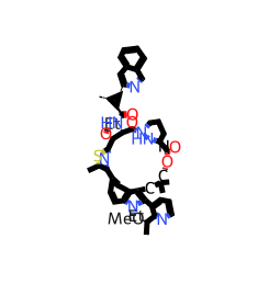 CCO[C@@H]1C2=NC(c3ccc4c(c3)c(c(-c3cccnc3[C@H](C)OC)n4CC)CC(C)(C)COC(=O)[C@@H]3CCCN(N3)C(=O)[C@H]1NC(=O)[C@H]1[C@H](C)[C@@H]1c1cc3ccccc3cn1)C(C)S2